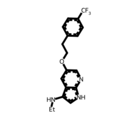 CCNc1c[nH]c2ncc(OCCc3ccc(C(F)(F)F)cc3)cc12